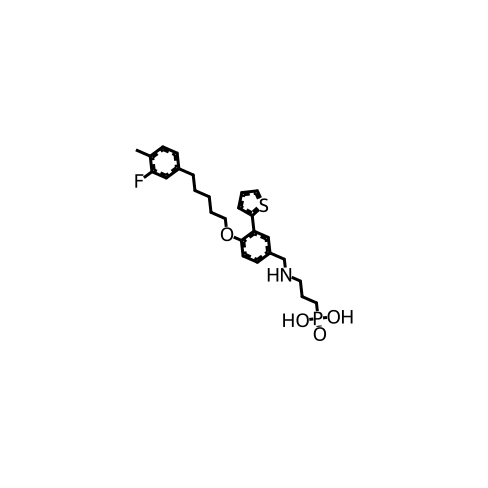 Cc1ccc(CCCCCOc2ccc(CNCCCP(=O)(O)O)cc2-c2cccs2)cc1F